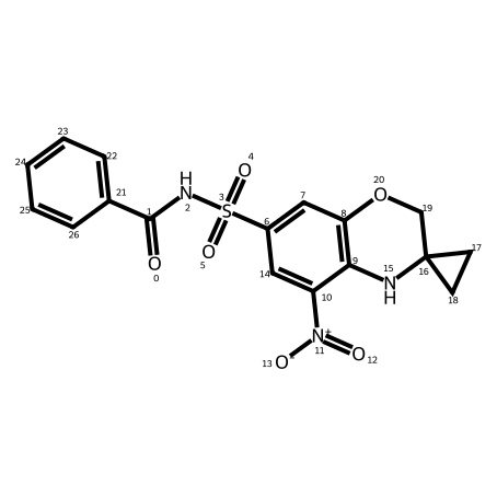 O=C(NS(=O)(=O)c1cc2c(c([N+](=O)[O-])c1)NC1(CC1)CO2)c1ccccc1